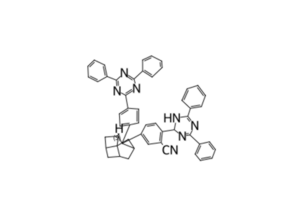 N#Cc1cc(C2(c3ccc(-c4nc(-c5ccccc5)nc(-c5ccccc5)n4)cc3)C3CC4CC5C[C@H]2C45C3)ccc1C1N=C(c2ccccc2)N=C(c2ccccc2)N1